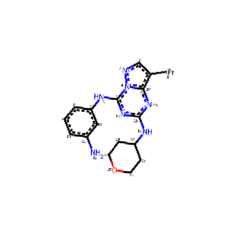 CC(C)c1cnn2c(Nc3cccc(N)c3)nc(NC3CCOCC3)nc12